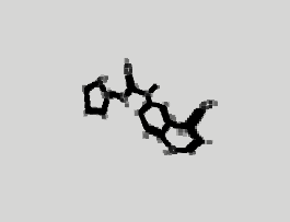 CN(C(=O)ON1CCCS1)c1ccc2occc(=O)c2c1